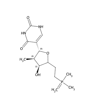 C=P(C)(C)CCC1O[C@@H](c2c[nH]c(=O)[nH]c2=O)[C@H](C)[C@@H]1O